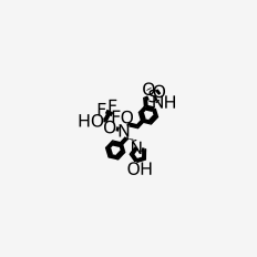 CN(C(=O)Cc1ccc2c(c1)CS(=O)(=O)N2)[C@H](CN1CCC(O)C1)c1ccccc1.O=C(O)C(F)(F)F